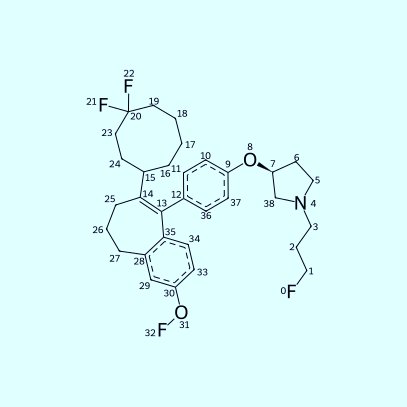 FCCCN1CC[C@H](Oc2ccc(C3=C(C4CCCCC(F)(F)CC4)CCCc4cc(OF)ccc43)cc2)C1